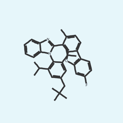 Cc1ccc2c(oc3cc(F)ccc32)c1-c1nc2ccccc2n1-c1c(C(C)C)cc(CC(C)(C)C)cc1C(C)C